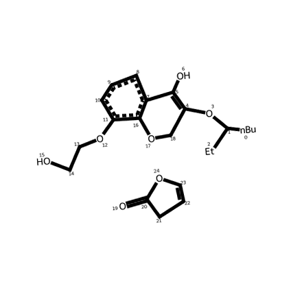 CCCCC(CC)OC1=C(O)c2cccc(OCCO)c2OC1.O=C1CC=CO1